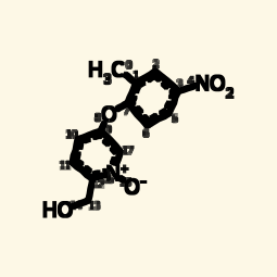 Cc1cc([N+](=O)[O-])ccc1Oc1ccc(CO)[n+]([O-])c1